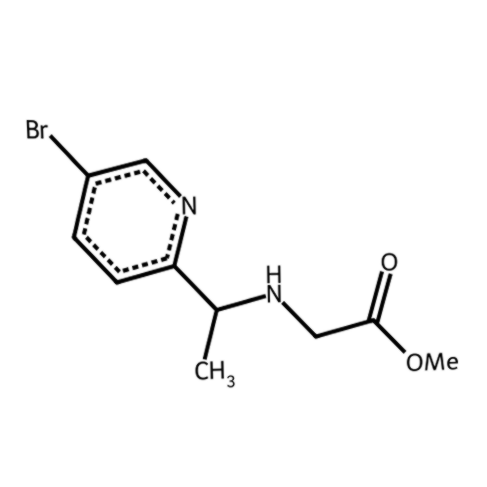 COC(=O)CNC(C)c1ccc(Br)cn1